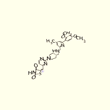 COc1ccc(-c2cc(C)cc(CNCC3CCN(c4nccc(/C=C5/SC(=O)NC5=O)n4)CC3)n2)c(OC)c1